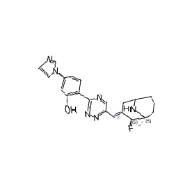 C[C@]12CCCC(C/C(=C\c3cnc(-c4ccc(-n5ccnc5)cc4O)nn3)[C@@H]1F)N2